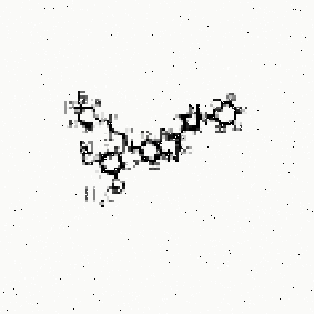 COc1cc(OC)cc(N(CCCN2CCC(F)(F)C2)c2ccc3ncc(-c4cnn(C5CCCCO5)c4)nc3c2)c1